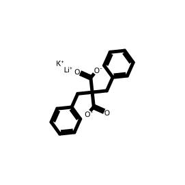 O=C([O-])C(Cc1ccccc1)(Cc1ccccc1)C(=O)[O-].[K+].[Li+]